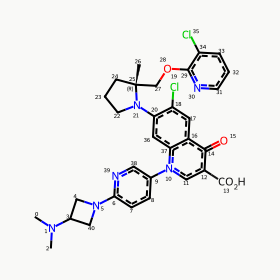 CN(C)C1CN(c2ccc(-n3cc(C(=O)O)c(=O)c4cc(Cl)c(N5CCC[C@]5(C)COc5ncccc5Cl)cc43)cn2)C1